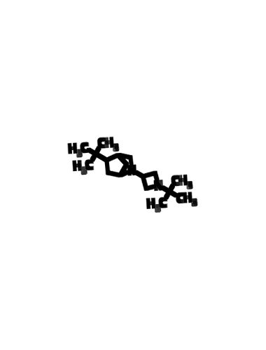 CC(C)(C)C1CC2CC1CN2C1CN(C(C)(C)C)C1